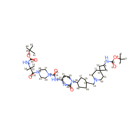 CC(C)(C)OC(=O)NC1CC2(CCN(CC3CCC(n4ccc(NC(=O)N5CCN(C(=O)C(C)(C)NC(=O)OC(C)(C)C)CC5)nc4=O)CC3)CC2)C1